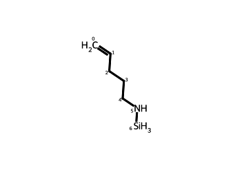 C=CCCCN[SiH3]